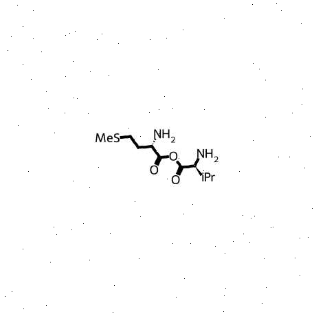 CSCC[C@H](N)C(=O)OC(=O)[C@@H](N)C(C)C